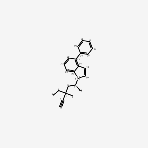 C#CC(C)(CC)C[C@H](C)n1ccc2c(-c3ccccc3)cccc21